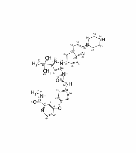 CNC(=O)c1cc(Oc2ccc(NC(=O)Nc3cc(C(C)(C)C)nn3-c3ccc4nc(N5CCNCC5)ccc4c3)cc2)ccn1